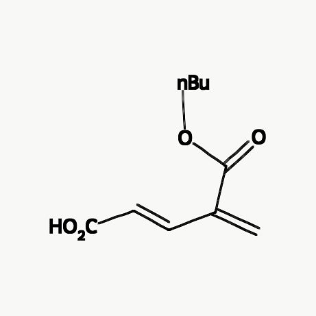 C=C(C=CC(=O)O)C(=O)OCCCC